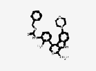 CCOC(=O)c1ncc(-c2cccc(NC(=O)OCc3ccccc3)c2C)c2c1[nH]c1ccc(N3CCOCC3)cc12